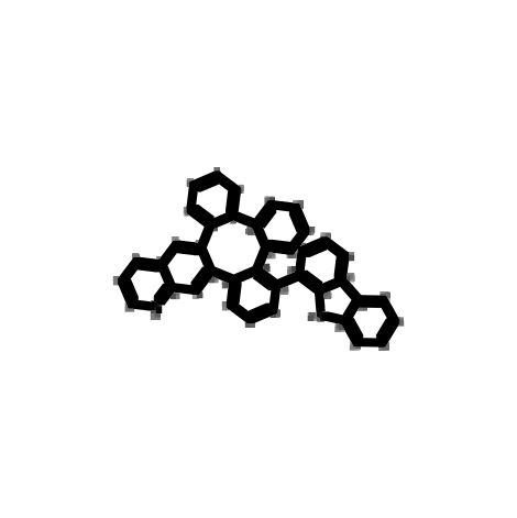 c1ccc2c(c1)-c1cc3cccnc3cc1-c1cccc(-c3cccc4c3sc3ccccc34)c1-c1ccccc1-2